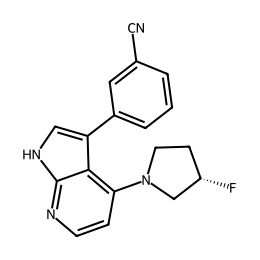 N#Cc1cccc(-c2c[nH]c3nccc(N4CC[C@H](F)C4)c23)c1